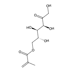 C=C(C)C(=O)OC[C@@H](O)[C@@H](O)[C@H](O)C(=O)CO